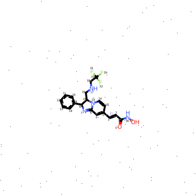 O=C(/C=C/C1=CC2=NC(c3ccccc3)C(CNCC(F)(F)F)N2C=C1)NO